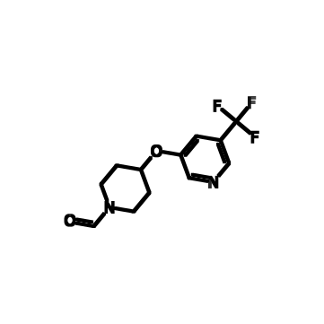 O=CN1CCC(Oc2cncc(C(F)(F)F)c2)CC1